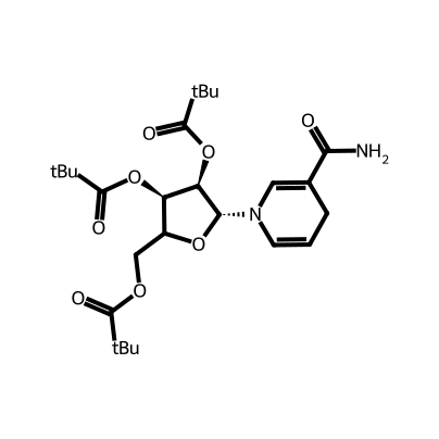 CC(C)(C)C(=O)OCC1O[C@@H](N2C=CCC(C(N)=O)=C2)[C@H](OC(=O)C(C)(C)C)[C@@H]1OC(=O)C(C)(C)C